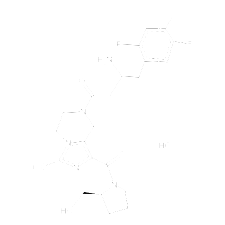 Cl.NC(CC(=O)N1CCn2c(C(F)(F)F)nc(C(=O)N3CCC[C@H]3CO)c2C1)Cc1cc(F)c(F)cc1F